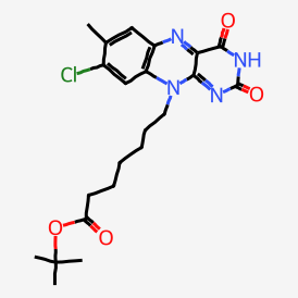 Cc1cc2nc3c(=O)[nH]c(=O)nc-3n(CCCCCCC(=O)OC(C)(C)C)c2cc1Cl